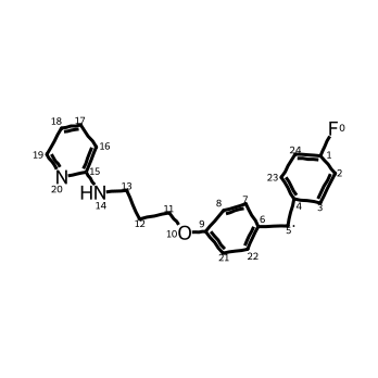 Fc1ccc([CH]c2ccc(OCCCNc3ccccn3)cc2)cc1